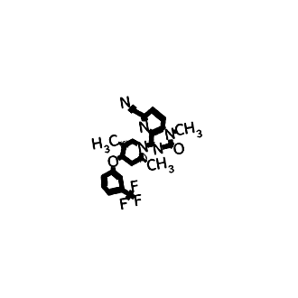 C[C@H]1CN(c2nc(=O)n(C)c3ccc(C#N)nc23)[C@@H](C)CC1Oc1cccc(C(F)(F)F)c1